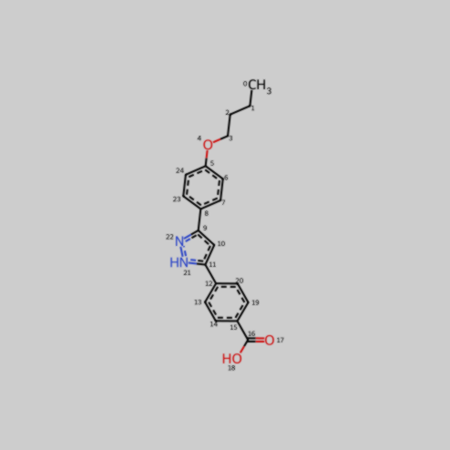 CCCCOc1ccc(-c2cc(-c3ccc(C(=O)O)cc3)[nH]n2)cc1